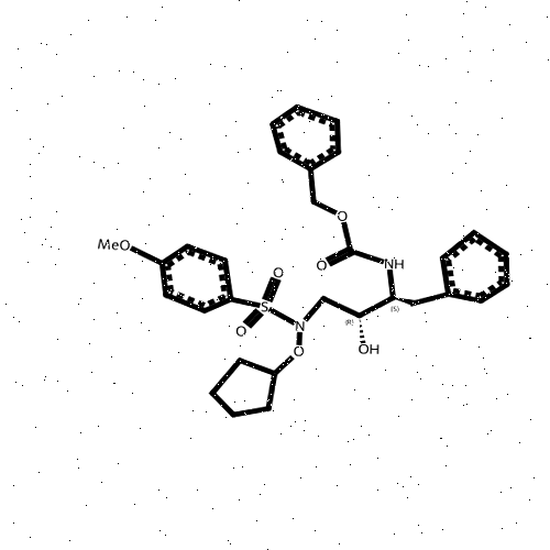 COc1ccc(S(=O)(=O)N(C[C@@H](O)[C@H](Cc2ccccc2)NC(=O)OCc2ccccc2)OC2CCCC2)cc1